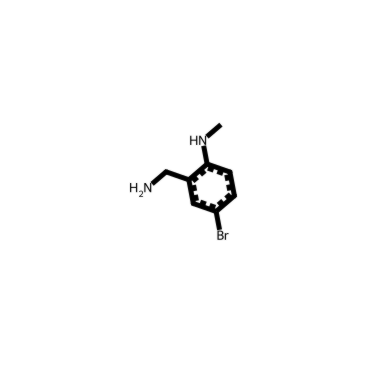 CNc1ccc(Br)cc1CN